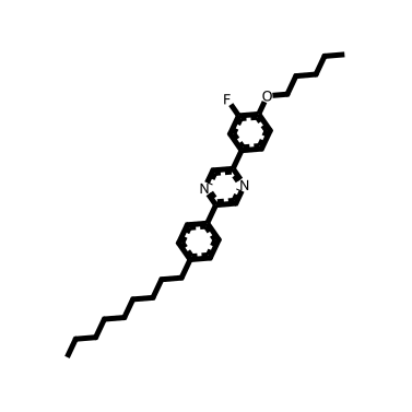 CCCCCCCCCc1ccc(-c2cnc(-c3ccc(OCCCCC)c(F)c3)cn2)cc1